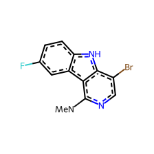 CNc1ncc(Br)c2[nH]c3ccc(F)cc3c12